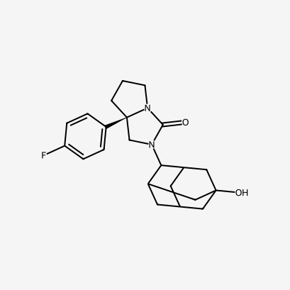 O=C1N(C2C3CC4CC2CC(O)(C4)C3)C[C@]2(c3ccc(F)cc3)CCCN12